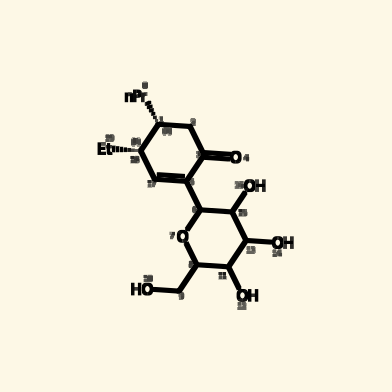 CCC[C@@H]1CC(=O)C(C2OC(CO)C(O)C(O)C2O)=C[C@@H]1CC